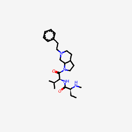 CC[C@H](NC)C(=O)N[C@H](C(=O)N1CCC2CCN(CCc3ccccc3)CC21)C(C)C